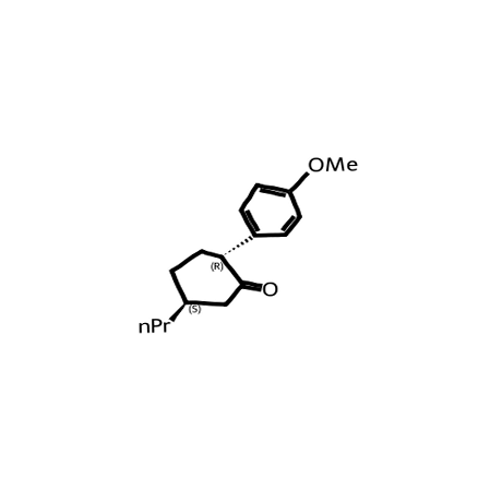 CCC[C@H]1CC[C@H](c2ccc(OC)cc2)C(=O)C1